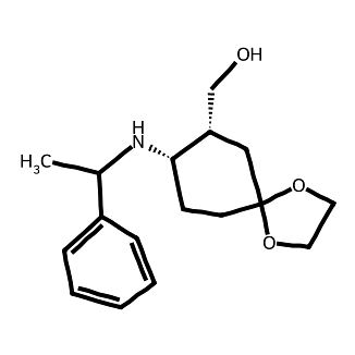 CC(N[C@H]1CCC2(C[C@H]1CO)OCCO2)c1ccccc1